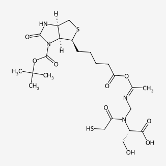 CC(=NCN(C(=O)CS)[C@@H](CO)C(=O)O)OC(=O)CCCC[C@@H]1SC[C@@H]2NC(=O)N(C(=O)OC(C)(C)C)[C@@H]21